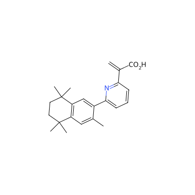 C=C(C(=O)O)c1cccc(-c2cc3c(cc2C)C(C)(C)CCC3(C)C)n1